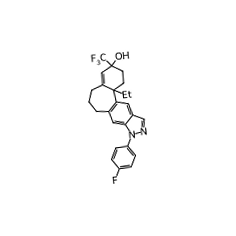 CCC12CCC(O)(C(F)(F)F)C=C1CCCc1cc3c(cnn3-c3ccc(F)cc3)cc12